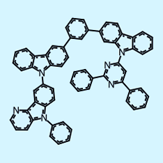 c1ccc(-c2cc(-n3c4ccccc4c4ccc(-c5cccc(-c6ccc7c(c6)c6ccccc6n7-c6ccc7c(c6)c6ncccc6n7-c6ccccc6)c5)cc43)nc(-c3ccccc3)n2)cc1